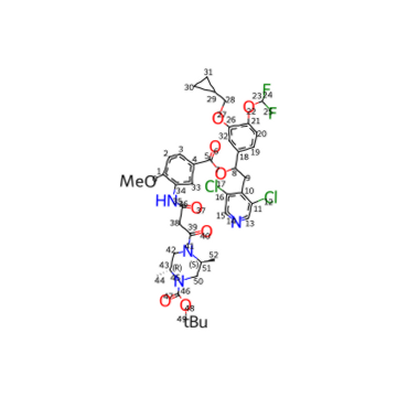 COc1ccc(C(=O)OC(Cc2c(Cl)cncc2Cl)c2ccc(OC(F)F)c(OCC3CC3)c2)cc1NC(=O)CC(=O)N1C[C@@H](C)N(C(=O)OC(C)(C)C)C[C@@H]1C